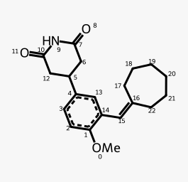 COc1ccc(C2CC(=O)NC(=O)C2)cc1C=C1CCCCCC1